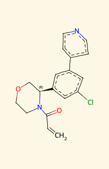 C=CC(=O)N1CCOC[C@H]1c1cc(Cl)cc(-c2ccncc2)c1